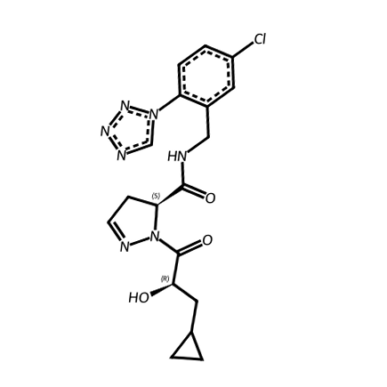 O=C(NCc1cc(Cl)ccc1-n1cnnn1)[C@@H]1CC=NN1C(=O)[C@H](O)CC1CC1